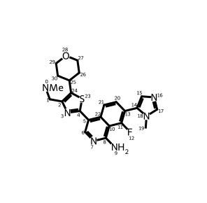 CNCc1nc(-c2cnc(N)c3c(F)c(-c4cncn4C)ccc23)sc1C1CCOCC1